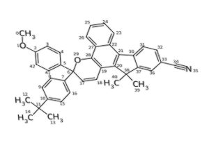 COc1ccc(C2(c3ccc(C(C)(C)C)cc3)C=Cc3c4c(c5ccccc5c3O2)-c2ccc(C#N)cc2C4(C)C)cc1